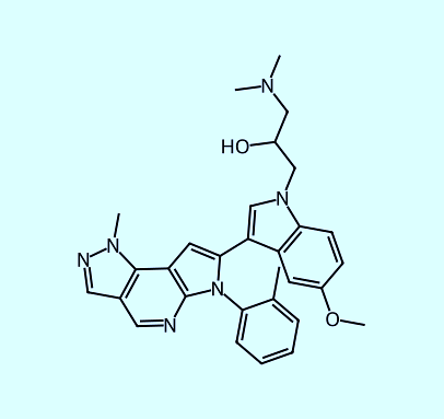 COc1ccc2c(c1)c(-c1cc3c4c(cnc3n1-c1ccccc1C)cnn4C)cn2CC(O)CN(C)C